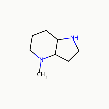 CN1CCCC2NCCC21